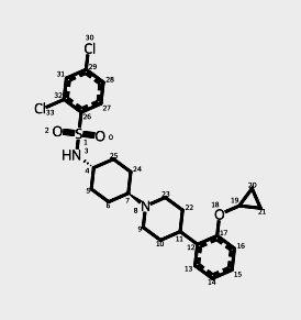 O=S(=O)(N[C@H]1CC[C@H](N2CCC(c3ccccc3OC3CC3)CC2)CC1)c1ccc(Cl)cc1Cl